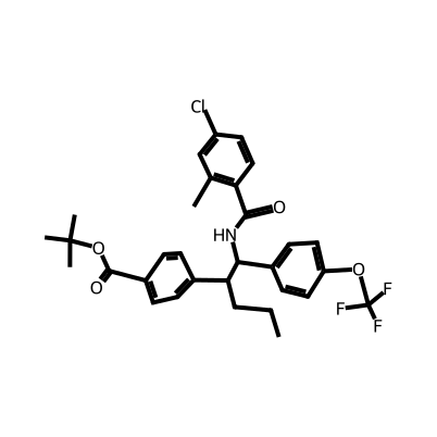 CCCC(c1ccc(C(=O)OC(C)(C)C)cc1)C(NC(=O)c1ccc(Cl)cc1C)c1ccc(OC(F)(F)F)cc1